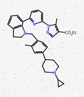 CCOC(=O)c1cnn(-c2cccc(-c3cccc4c3N(Cc3ccc(C5CCN(C6CC6)CC5)cc3C)CC4)n2)c1C